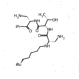 CC[C@H](C)CCCCCN[C@@H](CN)C(=O)N[C@H](C(=O)N[C@@H](CN)C(=O)C(C)C)[C@H](C)O